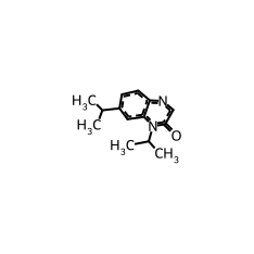 CC(C)c1ccc2ncc(=O)n(C(C)C)c2c1